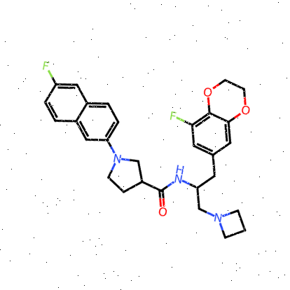 O=C(NC(Cc1cc(F)c2c(c1)OCCO2)CN1CCC1)C1CCN(c2ccc3cc(F)ccc3c2)C1